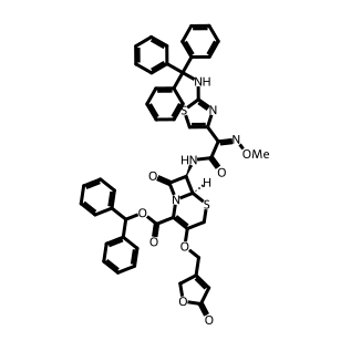 CO/N=C(\C(=O)N[C@@H]1C(=O)N2C(C(=O)OC(c3ccccc3)c3ccccc3)=C(OCC3=CC(=O)OC3)CS[C@H]12)c1csc(NC(c2ccccc2)(c2ccccc2)c2ccccc2)n1